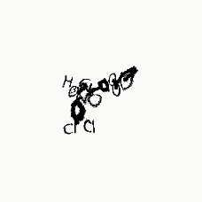 CN1C(=O)N(c2ccc(Cl)c(Cl)c2)C(=O)C1c1ccc(OC(=O)c2ccco2)cc1